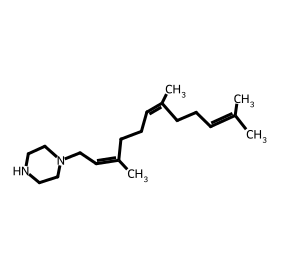 CC(C)=CCCC(C)=CCCC(C)=CCN1CCNCC1